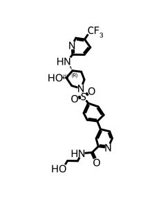 O=C(NCCO)c1cc(-c2ccc(S(=O)(=O)N3CC[C@@H](Nc4ccc(C(F)(F)F)cn4)[C@@H](O)C3)cc2)ccn1